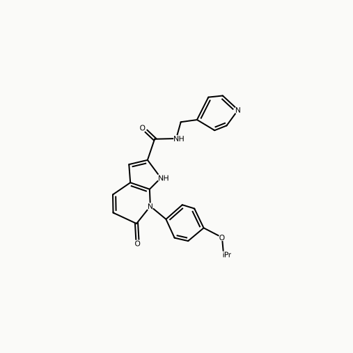 CC(C)Oc1ccc(-n2c(=O)ccc3cc(C(=O)NCc4ccncc4)[nH]c32)cc1